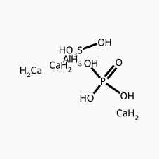 O=P(O)(O)O.O=S(=O)(O)O.[AlH3].[CaH2].[CaH2].[CaH2]